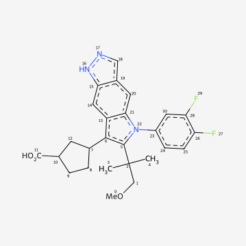 COCC(C)(C)c1c(C2CCC(C(=O)O)C2)c2cc3[nH]ncc3cc2n1-c1ccc(F)c(F)c1